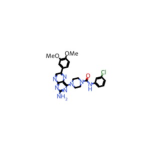 COc1ccc(-c2cnc3nc(N)nc(N4CCN(C(=O)Nc5cccc(Cl)c5)CC4)c3n2)cc1OC